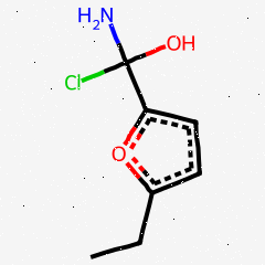 CCc1ccc(C(N)(O)Cl)o1